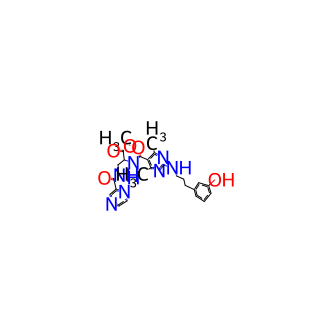 COC(=O)C(CNC(=O)c1cnccn1)NC(=O)c1c(C)nc(NCCCc2cccc(O)c2)nc1C